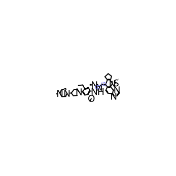 C=N/C(=N\C=C(\C1=CCCC1)c1ccc2nccnc2c1N(C)SC)Nc1cc(CC)c(N2CCC(N3CCN(C)CC3)CC2)cc1OC